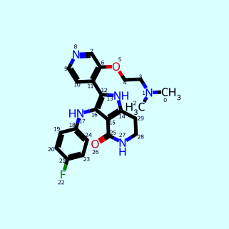 CN(C)CCOc1cnccc1-c1[nH]c2c(c1Nc1ccc(F)cc1)C(=O)NCC2